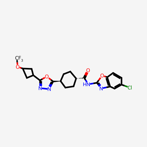 O=C(Nc1nc2cc(Cl)ccc2o1)[C@H]1CC[C@H](c2nnc(C3CC(OC(F)(F)F)C3)o2)CC1